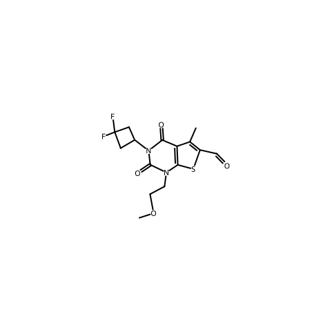 COCCn1c(=O)n(C2CC(F)(F)C2)c(=O)c2c(C)c(C=O)sc21